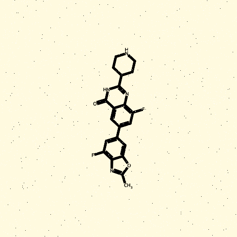 Cc1nc2c(F)cc(-c3cc(F)c4nc(C5CCNCC5)[nH]c(=O)c4c3)cc2o1